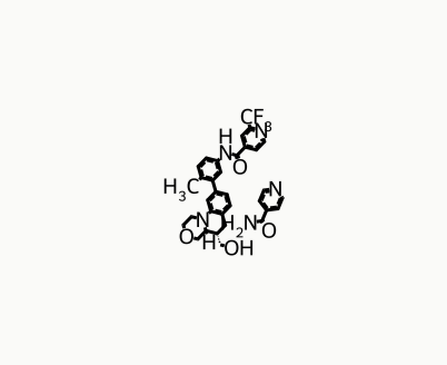 Cc1ccc(NC(=O)c2ccnc(C(F)(F)F)c2)cc1-c1ccc2c(c1)N1CCOC[C@H]1[C@@H](CO)C2.NC(=O)c1ccncc1